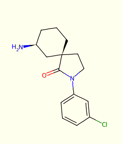 N[C@H]1CCC[C@]2(CCN(c3cccc(Cl)c3)C2=O)C1